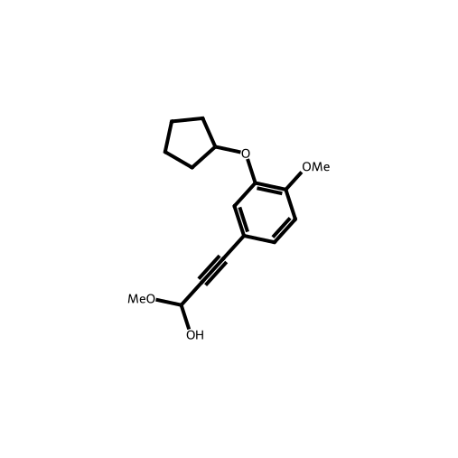 COc1ccc(C#CC(O)OC)cc1OC1CCCC1